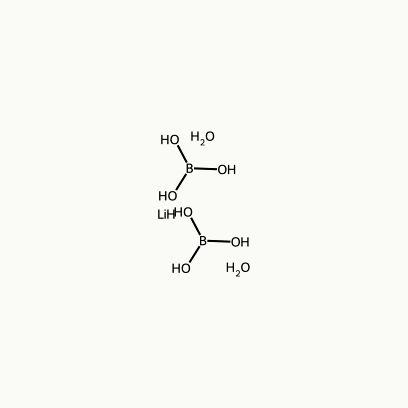 O.O.OB(O)O.OB(O)O.[LiH]